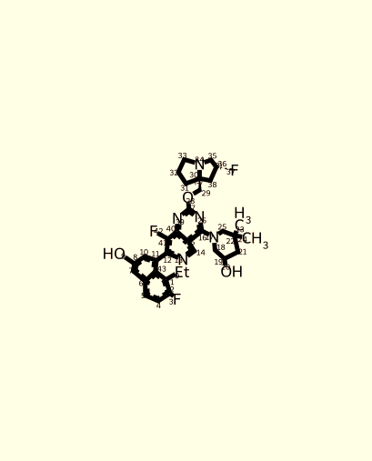 CCc1c(F)ccc2cc(O)cc(-c3ncc4c(N5CC(O)CC(C)(C)C5)nc(OC[C@@]56CCCN5C[C@H](F)C6)nc4c3F)c12